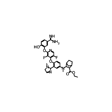 CCOC(=O)C1C2CCC(C2)C1N(C)c1ccc(Oc2c(F)cnc(Oc3cc(C(=N)N)ccc3O)c2F)c(C2N=CCN2C)c1